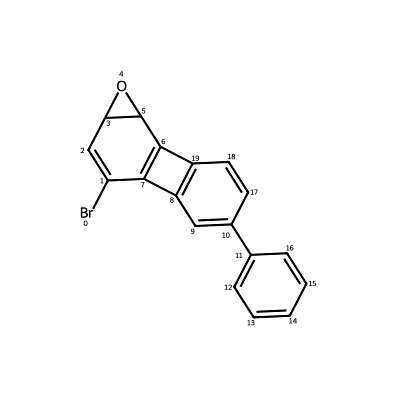 BrC1=CC2OC2C2=C1c1cc(-c3ccccc3)ccc12